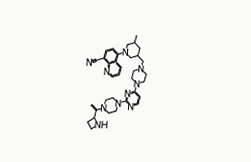 C=C(C1CCN1)N1CCN(c2nccc(N3CCN(CC4CC(C)CN(c5ccc(C#N)c6ncccc56)C4)CC3)n2)CC1